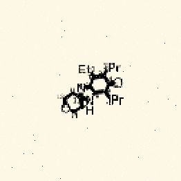 CCC1=C(C(C)C)C(=O)C(C(C)C)=C2NC3(CCOCC3)N=C12